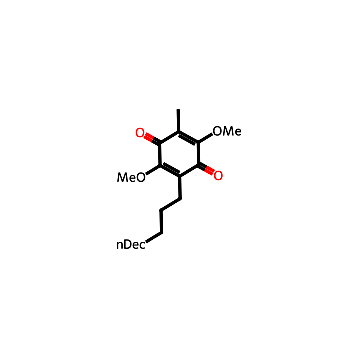 CCCCCCCCCCCCCC1=C(OC)C(=O)C(C)=C(OC)C1=O